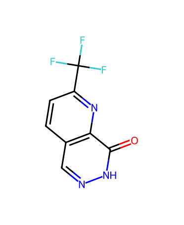 O=c1[nH]ncc2ccc(C(F)(F)F)nc12